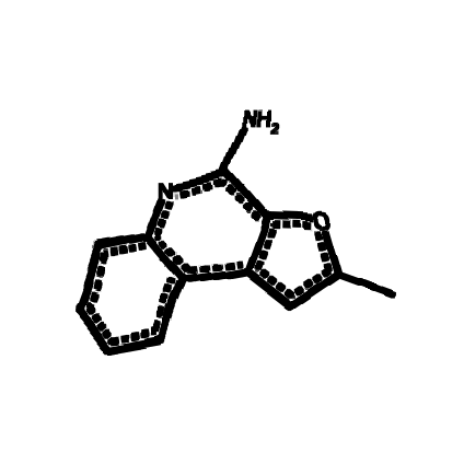 Cc1cc2c(o1)c(N)nc1ccccc12